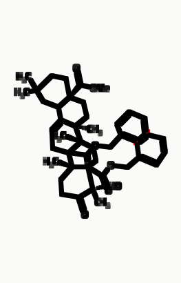 COC(=O)[C@]12CCC(C)(C)CC1C1=CCC3(C(=O)OCc4ccccc4)[C@@]4(C)CCC(=O)[C@@](C)(C=O)C4(C(=O)OCc4ccccc4)CC[C@@]3(C)[C@]1(C)CC2